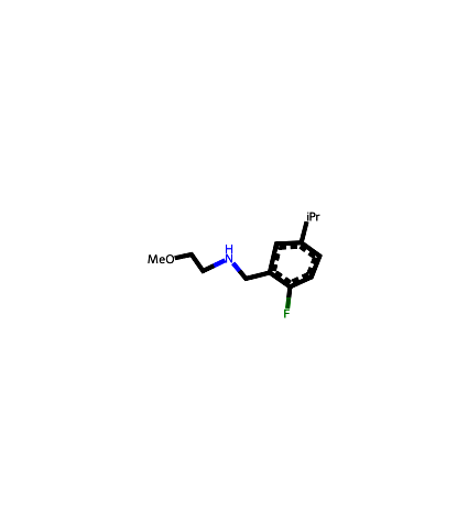 COCCNCc1cc(C(C)C)ccc1F